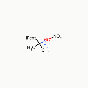 CCCC(C)C(C)(C)N.O=[N+]([O-])O